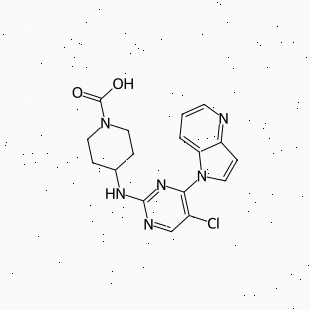 O=C(O)N1CCC(Nc2ncc(Cl)c(-n3ccc4ncccc43)n2)CC1